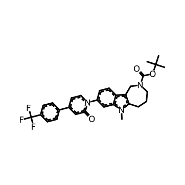 Cn1c2c(c3ccc(-n4ccc(-c5ccc(C(F)(F)F)cc5)cc4=O)cc31)CN(C(=O)OC(C)(C)C)CCC2